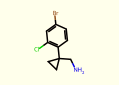 NCC1(c2ccc(Br)cc2Cl)CC1